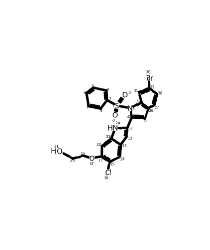 O=S(=O)(c1ccccc1)n1c(-c2cc3cc(Cl)c(OCCO)cc3[nH]2)cc2ccc(Br)cc21